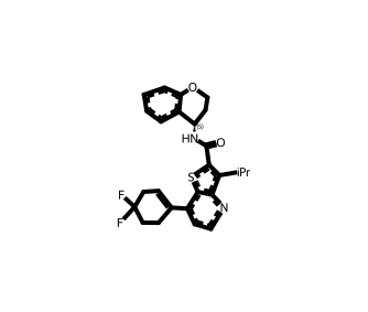 CC(C)c1c(C(=O)N[C@H]2CCOc3ccccc32)sc2c(C3=CCC(F)(F)CC3)ccnc12